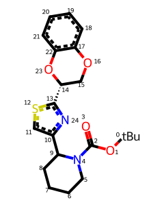 CC(C)(C)OC(=O)N1CCCCC1c1csc([C@H]2COc3ccccc3O2)n1